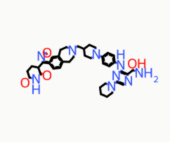 NC(O)c1ncc(N2CCCCC2)nc1Nc1ccc(N2CCC(CN3CCc4ccc5c(C6CCC(=O)NC6=O)noc5c4CC3)CC2)cc1